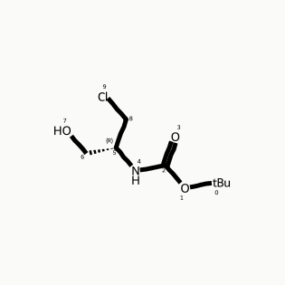 CC(C)(C)OC(=O)N[C@H](CO)CCl